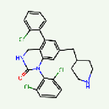 O=C1NCc2c(-c3ccccc3Cl)cc(CC3CCNCC3)cc2N1c1c(Cl)cccc1Cl